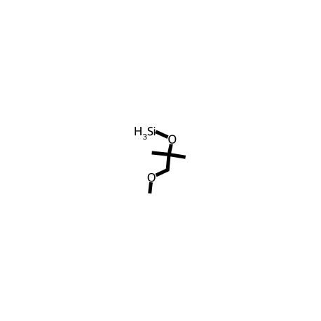 COCC(C)(C)O[SiH3]